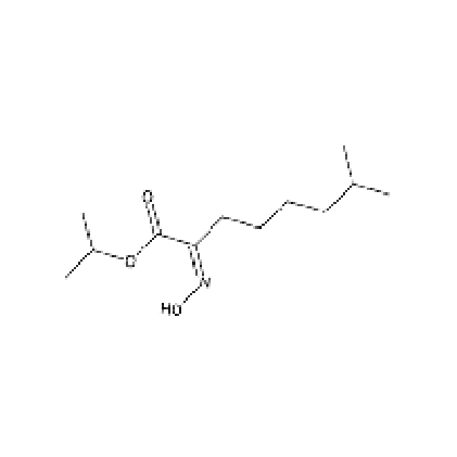 CC(C)CCCCC(=NO)C(=O)OC(C)C